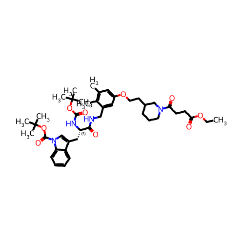 CCOC(=O)CCC(=O)N1CCCC(CCOc2cc(C)c(C)c(CNC(=O)[C@H](Cc3cn(C(=O)OC(C)(C)C)c4ccccc34)NC(=O)OC(C)(C)C)c2)C1